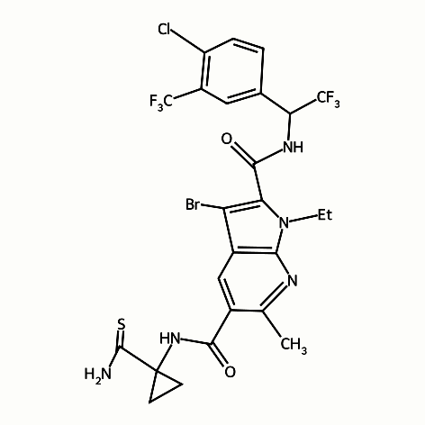 CCn1c(C(=O)NC(c2ccc(Cl)c(C(F)(F)F)c2)C(F)(F)F)c(Br)c2cc(C(=O)NC3(C(N)=S)CC3)c(C)nc21